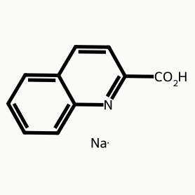 O=C(O)c1ccc2ccccc2n1.[Na]